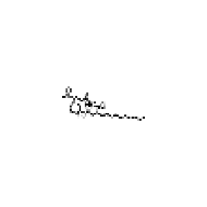 C1CCCCC1.CC(=O)OCCC(C)C.CCCCCCCCCCC(CC(=O)O)C(=O)O